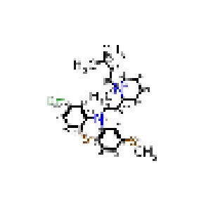 CSc1ccc2c(c1)N(CCC1CCCC[N+]1(C)CCC(C)C)c1ccccc1S2.[Br-]